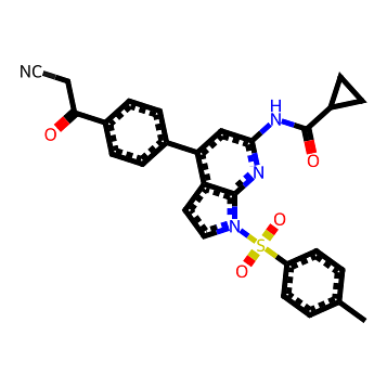 Cc1ccc(S(=O)(=O)n2ccc3c(-c4ccc(C(=O)CC#N)cc4)cc(NC(=O)C4CC4)nc32)cc1